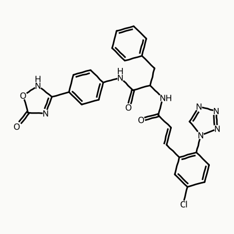 O=C(C=Cc1cc(Cl)ccc1-n1cnnn1)NC(Cc1ccccc1)C(=O)Nc1ccc(-c2nc(=O)o[nH]2)cc1